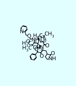 CC(C)C[C@@H](C(=O)NC(CC1CCNC1=O)C(=O)C(=O)c1ccccc1)N(C)C(=O)[C@@H](NC(=O)OCc1ccccn1)C(C)(C)C